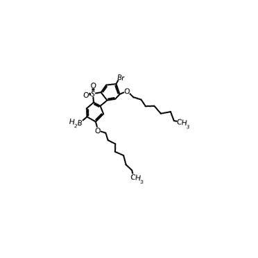 Bc1cc2c(cc1OCCCCCCCC)-c1cc(OCCCCCCCC)c(Br)cc1S2(=O)=O